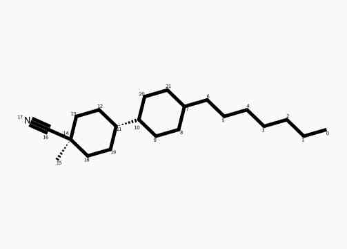 CCCCCCCC1CCC([C@H]2CC[C@](C)(C#N)CC2)CC1